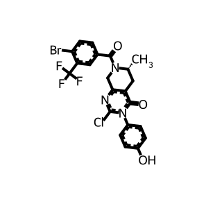 C[C@@H]1Cc2c(nc(Cl)n(-c3ccc(O)cc3)c2=O)CN1C(=O)c1ccc(Br)c(C(F)(F)F)c1